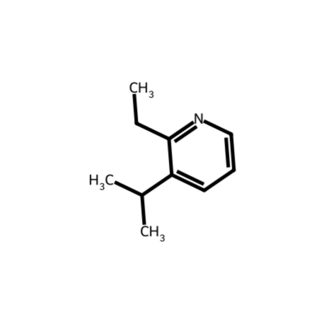 CCc1ncccc1C(C)C